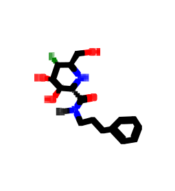 CCN(CCCc1ccccc1)C(=O)[C@H]1N[C@H](CO)[C@@H](F)[C@H](O)[C@@H]1O